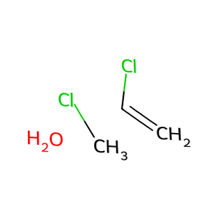 C=CCl.CCl.O